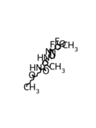 CCCCCC(=O)CCCC(=N)C(=O)c1ccc(Nc2cccn3c(-c4ccc(OC)c(F)c4F)cnc23)cc1CC